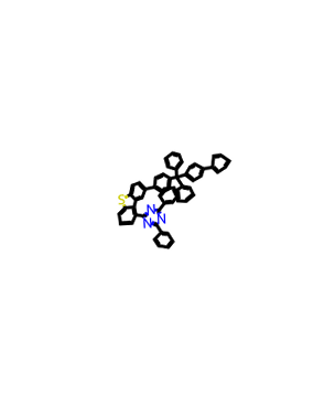 c1ccc(-c2ccc(C(c3ccccc3)(c3ccccc3)c3ccc(-c4ccc5sc6cccc(-c7nc(-c8ccccc8)nc(-c8ccccc8)n7)c6c5c4)cc3)cc2)cc1